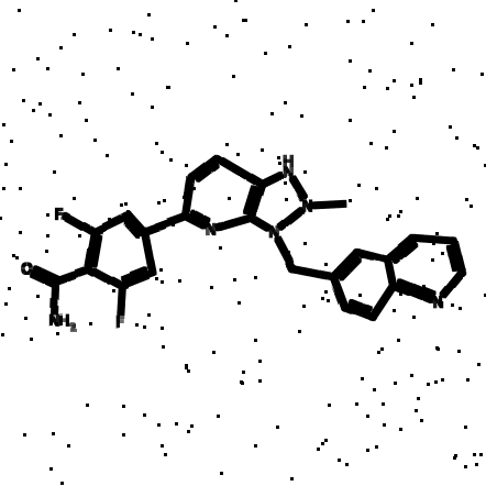 CN1Nc2ccc(-c3cc(F)c(C(N)=O)c(F)c3)nc2N1Cc1ccc2ncccc2c1